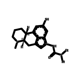 CCN(CC)C(=O)Nn1cc2c3c(cc(S)cc31)[C@H]1CCCN(C)[C@@H]1C2